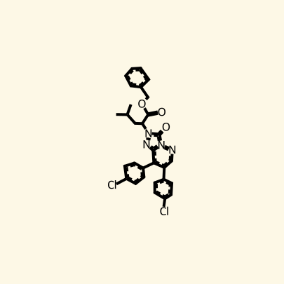 CC(C)CC(C(=O)OCc1ccccc1)n1nc2c(-c3ccc(Cl)cc3)c(-c3ccc(Cl)cc3)cnn2c1=O